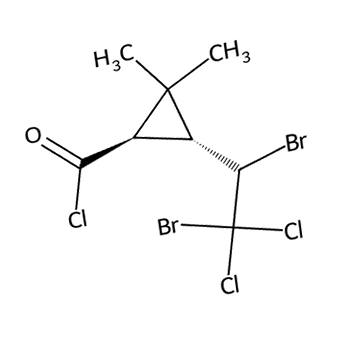 CC1(C)[C@H](C(=O)Cl)[C@H]1C(Br)C(Cl)(Cl)Br